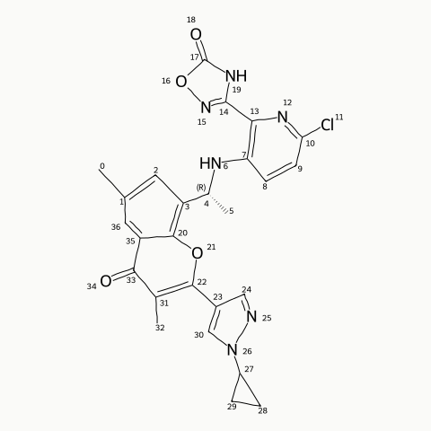 Cc1cc([C@@H](C)Nc2ccc(Cl)nc2-c2noc(=O)[nH]2)c2oc(-c3cnn(C4CC4)c3)c(C)c(=O)c2c1